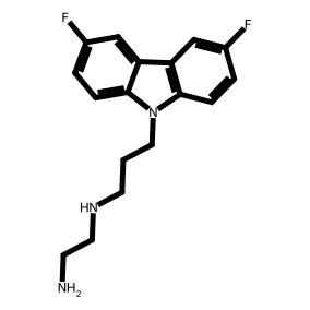 NCCNCCCn1c2ccc(F)cc2c2cc(F)ccc21